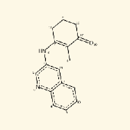 CC1=C(Nc2cnc3ccccc3c2)CCCC1=O